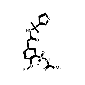 CCOc1ccc(CC(=O)NC(C)(C)c2ccsc2)cc1S(=O)(=O)NC(=O)NC